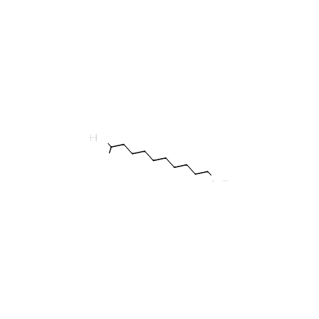 OCCCCCCCCCC(O)Br